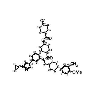 COc1ccc([C@H]2CC[C@H](CN(c3cccc(-c4cnn(C5CC5)c4)c3)C(=O)[C@H]3CC[C@H](OC(=O)N4CC[S+]([O-])CC4)CC3)CC2)cc1C